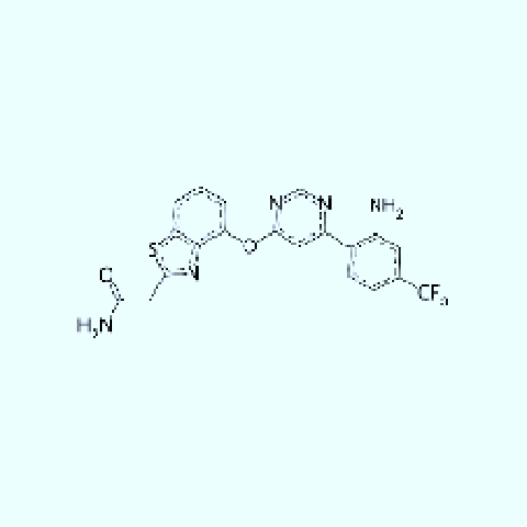 NC(=O)Cc1nc2c(Oc3cc(-c4ccc(C(F)(F)F)cc4N)ncn3)cccc2s1